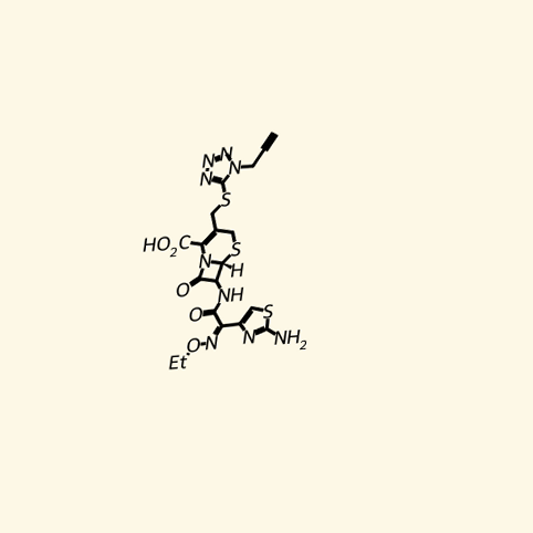 C#CCn1nnnc1SCC1=C(C(=O)O)N2C(=O)C(NC(=O)/C(=N\OCC)c3csc(N)n3)[C@H]2SC1